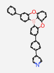 c1ccc(-c2ccc3c(c2)Oc2cccc4c2B3c2ccc(-c3ccc(-c5ccncc5)cc3)cc2O4)cc1